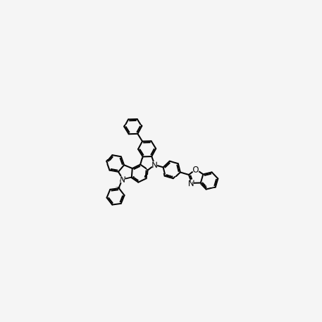 c1ccc(-c2ccc3c(c2)c2c4c5ccccc5n(-c5ccccc5)c4ccc2n3-c2ccc(-c3nc4ccccc4o3)cc2)cc1